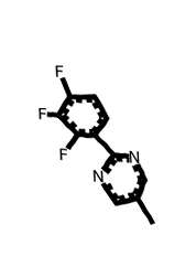 Cc1cnc(-c2ccc(F)c(F)c2F)nc1